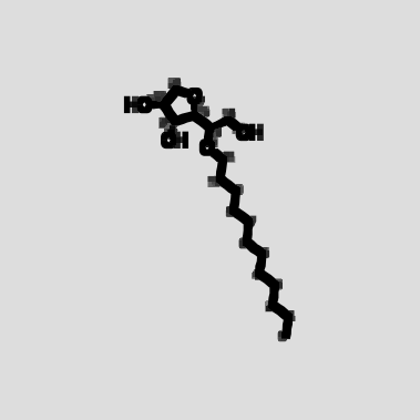 CCCCCCCCCCCCO[C@H](CO)[C@H]1OC[C@H](O)[C@H]1O